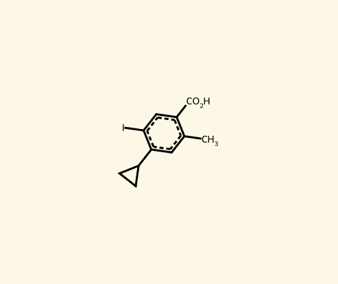 Cc1cc(C2CC2)c(I)cc1C(=O)O